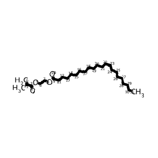 C=C(C)C(=O)OCCOC(=O)CCCCCCCCCCC/C=C\CCCCCCCC